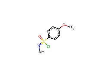 CCCN=S(=O)(Cl)c1ccc(OC(F)(F)F)cc1